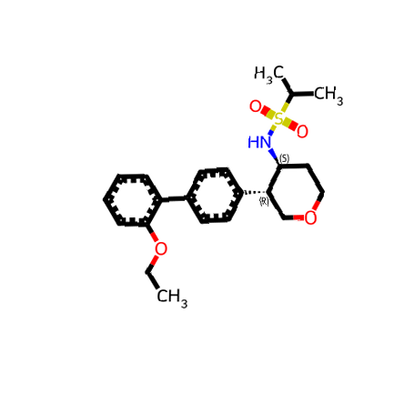 CCOc1ccccc1-c1ccc([C@H]2COCC[C@@H]2NS(=O)(=O)C(C)C)cc1